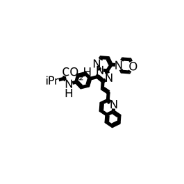 CC(C)C(Nc1ccc(-c2c(/C=C/c3ccc4ccccc4n3)nc3c(N4CCOCC4)ccnn23)cc1)C(=O)O